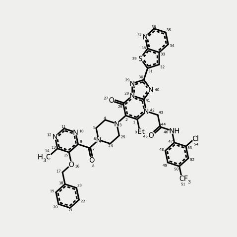 CCc1c(N2CCN(C(=O)c3ncnc(C)c3OCc3ccccc3)CC2)c(=O)n2nc(-c3cc4cccnc4s3)nc2n1CC(=O)Nc1ccc(C(F)(F)F)cc1Cl